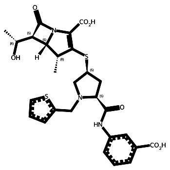 C[C@@H](O)[C@H]1C(=O)N2C(C(=O)O)=C(S[C@H]3C[C@@H](C(=O)Nc4cccc(C(=O)O)c4)N(Cc4cccs4)C3)[C@H](C)[C@H]12